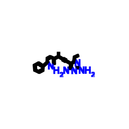 CCc1nc(N)nc(N)c1C#CC(C)c1ccc(-c2ccccc2)nc1